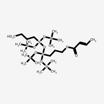 CC=CC(=O)OCCC[Si](O[Si](C)(C)C)(O[Si](C)(C)C)O[Si](CCCC(=O)O)(O[Si](C)(C)C)O[Si](C)(C)C